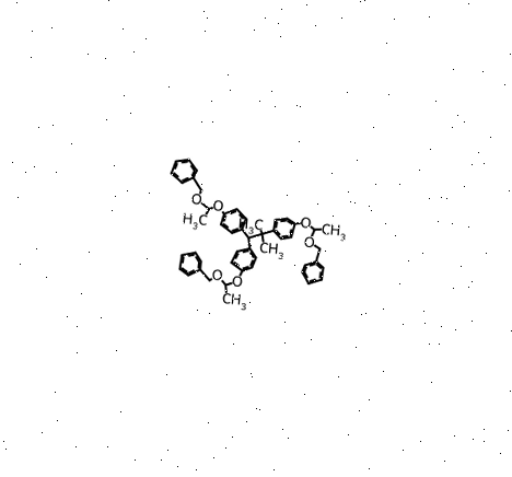 CC(OCc1ccccc1)Oc1ccc(C(c2ccc(OC(C)OCc3ccccc3)cc2)C(C)(C)c2ccc(OC(C)OCc3ccccc3)cc2)cc1